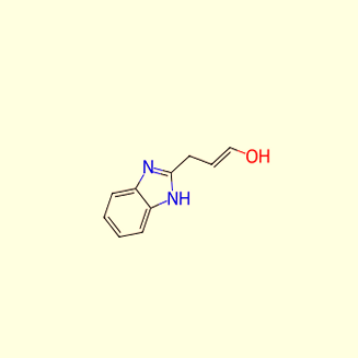 OC=CCc1nc2ccccc2[nH]1